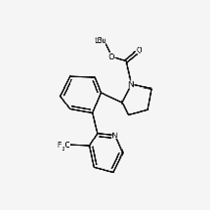 CC(C)(C)OC(=O)N1CCCC1c1ccccc1-c1ncccc1C(F)(F)F